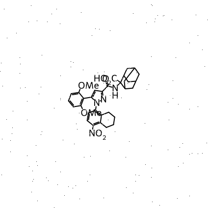 COc1cccc(OC)c1-c1cc(C(=O)NC2(C(=O)O)C3CC4CC(C3)CC2C4)nn1-c1ccc([N+](=O)[O-])c2c1CCCC2